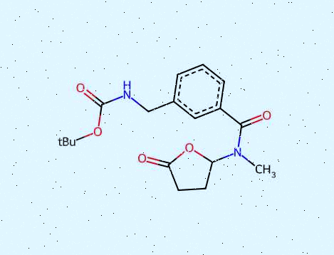 CN(C(=O)c1cccc(CNC(=O)OC(C)(C)C)c1)C1CCC(=O)O1